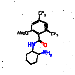 COc1cc(C(F)(F)F)cc(C(F)(F)F)c1C(=O)NC1CCCCC1N